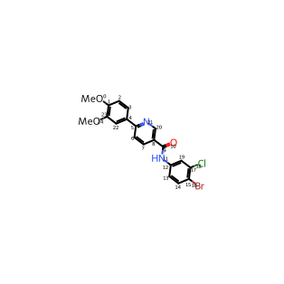 COc1ccc(-c2ccc(C(=O)Nc3ccc(Br)c(Cl)c3)cn2)cc1OC